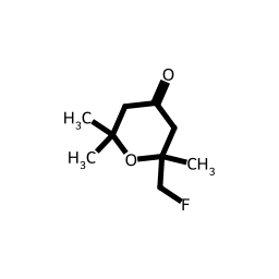 CC1(C)CC(=O)CC(C)(CF)O1